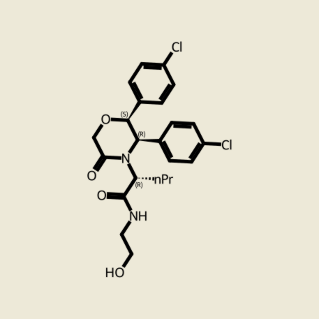 CCC[C@H](C(=O)NCCO)N1C(=O)CO[C@@H](c2ccc(Cl)cc2)[C@H]1c1ccc(Cl)cc1